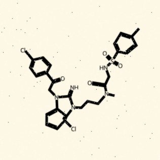 Cc1ccc(S(=O)(=O)NCC(=O)N(C)CCCn2c(=N)n(CC(=O)c3ccc(Cl)cc3)c3cccc(Cl)c32)cc1